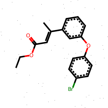 CCOC(=O)C=C(C)c1cccc(Oc2ccc(Br)cc2)c1